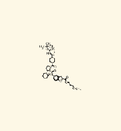 COCCCOC(=O)C1Cc2cc(NC(=O)[C@@H]3[C@H](C4CCCCC4)CCN3C(=O)[C@H]3CC[C@H]([C@@H](CF)NC(=O)OC(C)(C)C)CC3)ccc2O1